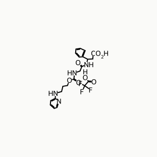 O=C(O)C(F)(F)F.O=C(O)CC(NC(=O)CNC(=O)OCCCNc1ccccn1)c1ccccc1